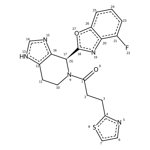 O=C(CCc1nccs1)N1CCc2[nH]cnc2[C@H]1c1nc2c(F)cccc2o1